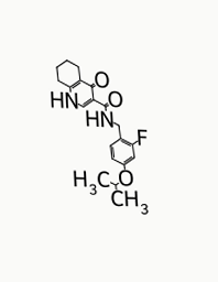 CC(C)Oc1ccc(CNC(=O)c2c[nH]c3c(c2=O)CCCC3)c(F)c1